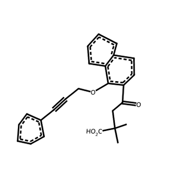 CC(C)(CC(=O)c1ccc2ccccc2c1OCC#Cc1ccccc1)C(=O)O